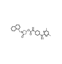 CCN(c1ccc(NC(=O)OC2CC(=O)N(Cc3cccc4ccccc34)C2)cc1)c1nc(C)cc(C)n1